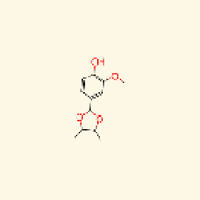 COc1cc(C2OC(C)C(C)O2)ccc1O